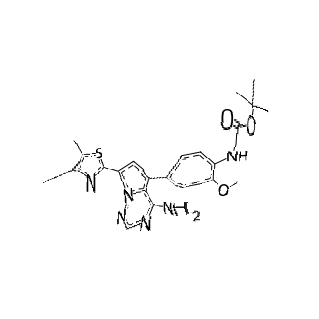 COc1cc(-c2cc(-c3nc(C)c(C)s3)n3ncnc(N)c23)ccc1NC(=O)OC(C)(C)C